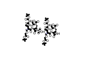 CC(C)(C)OC(=O)CO/N=C(\C(=O)N[C@@H]1C(=O)N(S(=O)(=O)O)[C@@H]1CN1CCOC1=O)c1csc(NC(=O)OC(C)(C)C)n1.CC(C)(C)OC(=O)CO/N=C(\C(=O)N[C@@H]1C(=O)N[C@@H]1CN1CCOC1=O)c1csc(NC(=O)OC(C)(C)C)n1